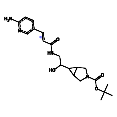 CC(C)(C)OC(=O)N1CC2C(C1)C2C(O)CNC(=O)/C=C/c1ccc(N)nc1